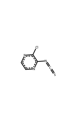 S=C=Nc1nccnc1Cl